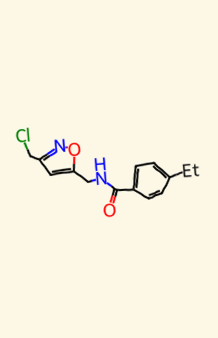 CCc1ccc(C(=O)NCc2cc(CCl)no2)cc1